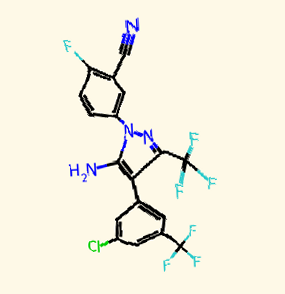 N#Cc1cc(-n2nc(C(F)(F)F)c(-c3cc(Cl)cc(C(F)(F)F)c3)c2N)ccc1F